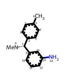 CN[C@H](c1ccc(C)cc1)c1cccc(N)c1